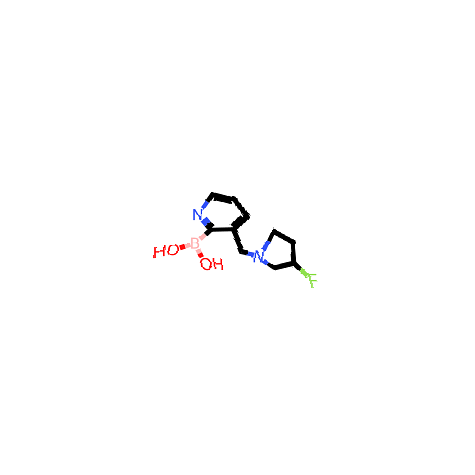 OB(O)c1ncccc1CN1CCC(F)C1